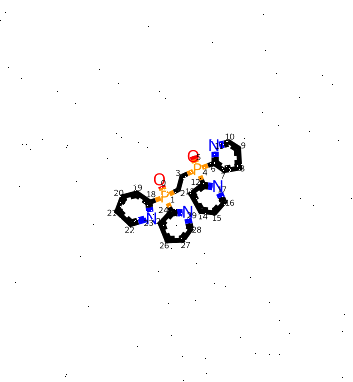 O=P(CCP(=O)(c1ccccn1)c1ccccn1)(c1ccccn1)c1ccccn1